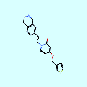 O=c1cc(OCc2ccsc2)ccn1CCc1ccc2c(c1)CNCC2